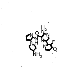 COc1ccnc(-c2cnc(N)c(C(=O)Nc3ncccc3N3CCC(N)CC3)n2)c1F